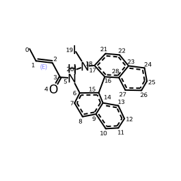 C/C=C/C(=O)Nc1ccc2ccccc2c1-c1c(N(I)I)ccc2ccccc12